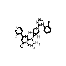 CN(c1nc(-c2ccncc2F)cc(=O)n1C)C1[C@H]2CN(c3nnnn3-c3ccccc3F)C[C@@H]12